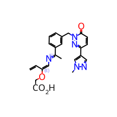 C=C/C(=C\N=C(/C)c1cccc(Cn2nc(-c3cnn(C)c3)ccc2=O)c1)OCC(=O)O